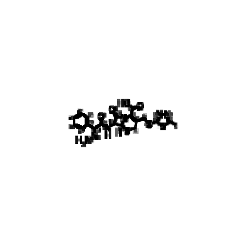 Cc1nnc(SCC2=C(C(=O)O)N3C(=O)C(NC(=O)C(=NN)c4ccccc4)[C@@H]3SC2)s1